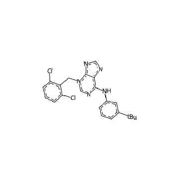 CC(C)(C)c1cccc(Nc2ncn(Cc3c(Cl)cccc3Cl)c3ncnc2-3)c1